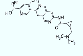 CCCC(O)c1cc(C)c(-c2cc3cnc(NC(=O)C4CC4CN(C)C)cc3cn2)cn1